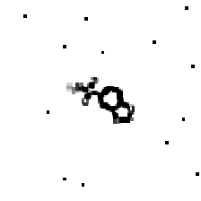 NS(=O)(=O)c1ccc2o[c]nc2c1